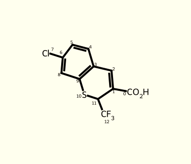 O=C(O)C1=Cc2ccc(Cl)cc2SC1C(F)(F)F